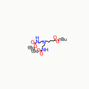 CCCCOC(=O)CCCCN(CCNC(=O)OC(C)(C)C)CCNC(=O)OC(C)(C)C